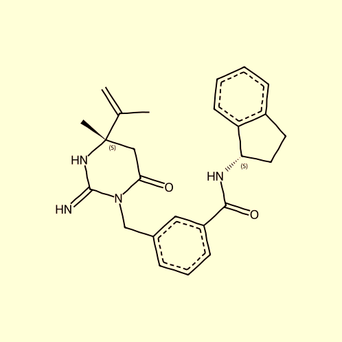 C=C(C)[C@]1(C)CC(=O)N(Cc2cccc(C(=O)N[C@H]3CCc4ccccc43)c2)C(=N)N1